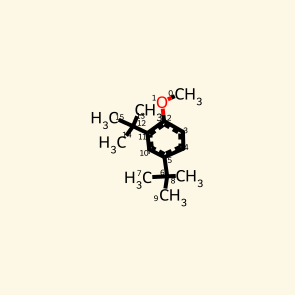 COc1ccc(C(C)(C)C)[c]c1C(C)(C)C